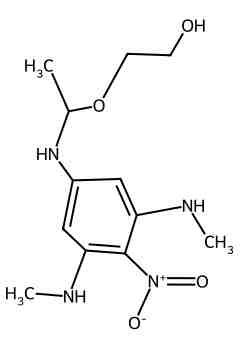 CNc1cc(NC(C)OCCO)cc(NC)c1[N+](=O)[O-]